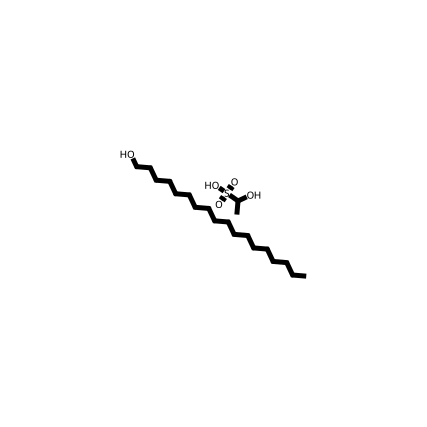 CC(O)S(=O)(=O)O.CCCCCCCCCCCCCCCCCCO